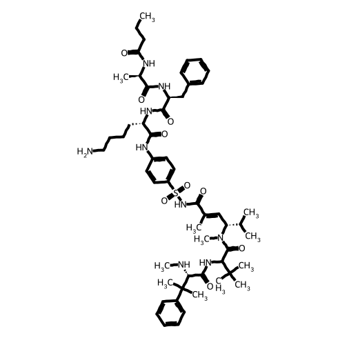 CCCC(=O)N[C@H](C)C(=O)N[C@@H](Cc1ccccc1)C(=O)N[C@@H](CCCCN)C(=O)Nc1ccc(S(=O)(=O)NC(=O)/C(C)=C/[C@H](C(C)C)N(C)C(=O)C(NC(=O)[C@@H](NC)C(C)(C)c2ccccc2)C(C)(C)C)cc1